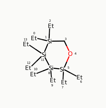 CC[Si]1(CC)CO[Si](CC)(CC)[Si](CC)(CC)[Si]1(CC)CC